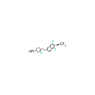 CCCC1CCC(CCc2ccc3c(F)c(C#CC(F)(F)F)c(F)cc3c2)=C(F)C1